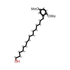 COc1ccc(OC)c(CCCCCCCCCCCCCCCCO)c1